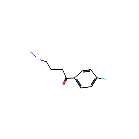 O=C(CCCNI)c1ccc(F)cc1